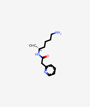 NCCCC[C@@H]([C]=O)NC(=O)Cc1ccccn1